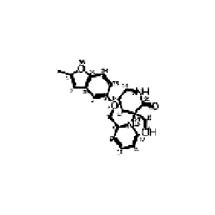 Cc1cc2cc(OCC3C=CC=CN3C3(CO)CCCNC3=O)ccc2o1